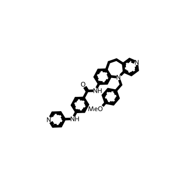 COc1ccc(CN2c3ccncc3CCc3ccc(NC(=O)c4ccc(Nc5ccncc5)cc4)cc32)cc1